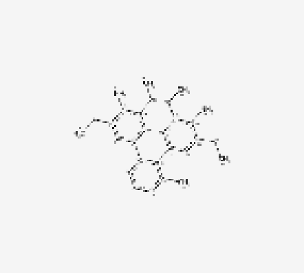 CCc1cc(-c2cccc(C)c2-c2cc(CC)c(N)c(CC)c2)cc(CC)c1N